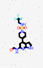 O=CNc1cc(C2=CCN(S(=O)(=O)NCC(F)(F)F)CC2)c2cc[nH]c2n1